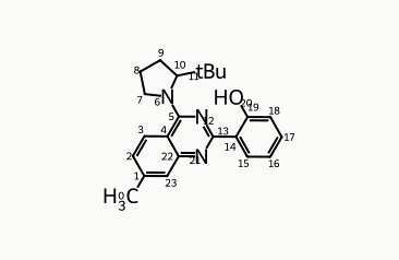 Cc1ccc2c(N3CCCC3C(C)(C)C)nc(-c3ccccc3O)nc2c1